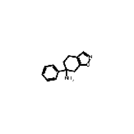 NC1(c2ccccc2)CCc2cnoc2C1